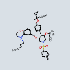 COCCCN1CCOc2ccc(CO[C@H]3CN(S(=O)(=O)c4ccc(C)cc4)C[C@@H](O[Si](C(C)C)(C(C)C)C(C)C)[C@@H]3c3ccc(COC(C)(OC)C4CC4)cc3)cc21